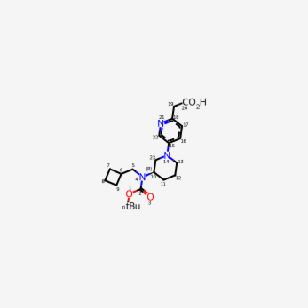 CC(C)(C)OC(=O)N(CC1CCC1)[C@@H]1CCCN(c2ccc(CC(=O)O)nc2)C1